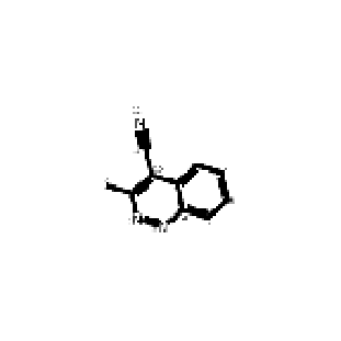 Cc1nnc2ccccc2c1C#N